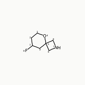 FC1CCOC2(CNC2)C1